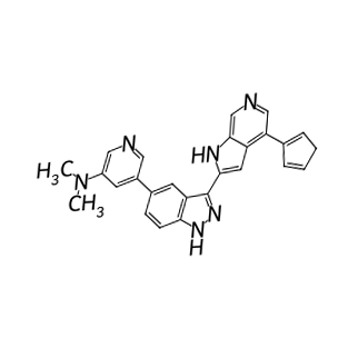 CN(C)c1cncc(-c2ccc3[nH]nc(-c4cc5c(C6=CCC=C6)cncc5[nH]4)c3c2)c1